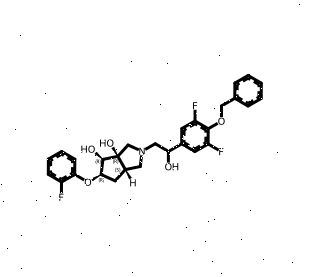 OC(CN1C[C@@H]2C[C@@H](Oc3ccccc3F)[C@@H](O)[C@]2(O)C1)c1cc(F)c(OCc2ccccc2)c(F)c1